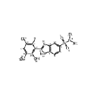 CCN(CC)S(=O)(=O)c1ccc2[nH]c(-c3c(C)c(Cl)cc(C(C)(C)C)c3O)nc2c1